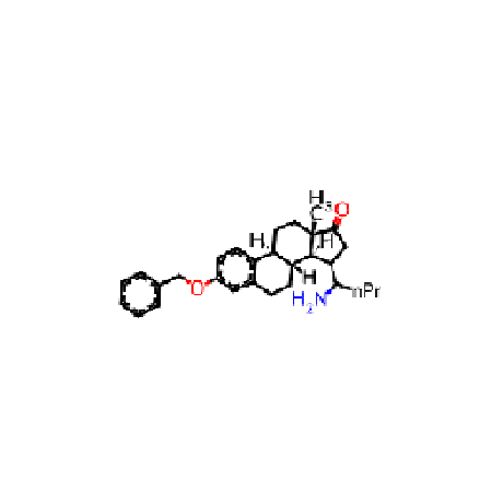 CCCC(N)[C@@H]1CC(=O)[C@@]2(C)CC[C@@H]3c4ccc(OCc5ccccc5)cc4CC[C@H]3[C@H]12